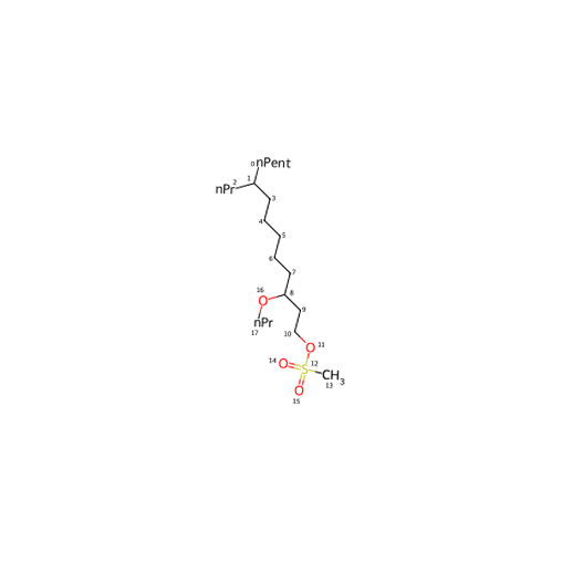 CCCCCC(CCC)CCCCCC(CCOS(C)(=O)=O)OCCC